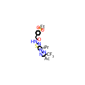 CCS(=O)(=O)c1ccc(CC(=O)Nc2nc3c(s2)CN(c2ncc(C(C)=O)c(C(F)(F)F)n2)[C@H]3C(C)C)cc1